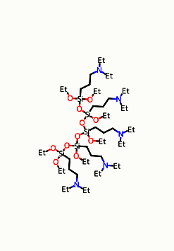 CCO[Si](CCCN(CC)CC)(OCC)O[Si](CCCN(CC)CC)(OCC)O[Si](CCCN(CC)CC)(OCC)O[Si](CCCN(CC)CC)(OCC)O[Si](CCCN(CC)CC)(OCC)OCC